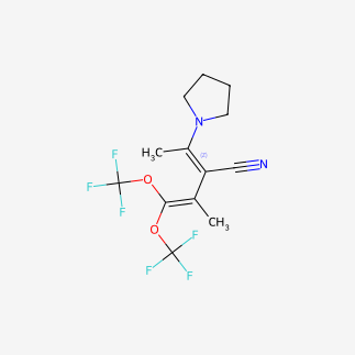 CC(=C(OC(F)(F)F)OC(F)(F)F)/C(C#N)=C(\C)N1CCCC1